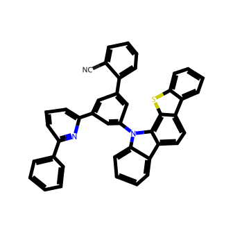 N#Cc1ccccc1-c1cc(-c2cccc(-c3ccccc3)n2)cc(-n2c3ccccc3c3ccc4c5ccccc5sc4c32)c1